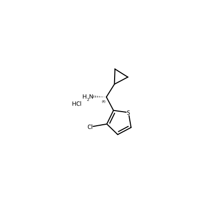 Cl.N[C@@H](c1sccc1Cl)C1CC1